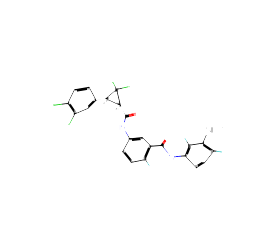 CC(=O)Nc1c(F)ccc(NC(=O)c2cc(NC(=O)[C@H]3[C@H](c4ccc(Cl)c(Cl)c4)C3(Cl)Cl)ccc2F)c1F